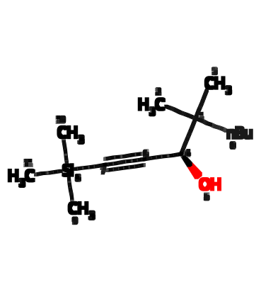 CCCCC(C)(C)[C@@H](O)C#C[Si](C)(C)C